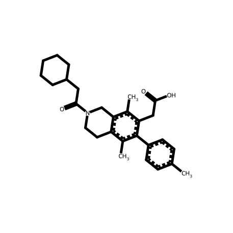 Cc1ccc(-c2c(C)c3c(c(C)c2CC(=O)O)CN(C(=O)CC2CCCCC2)CC3)cc1